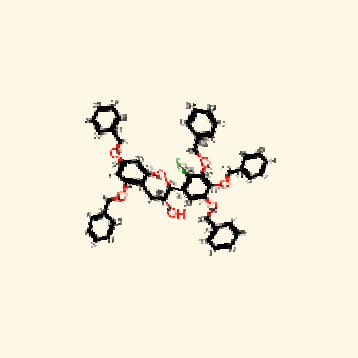 O[C@@H]1Cc2c(OCc3ccccc3)cc(OCc3ccccc3)cc2O[C@H]1c1cc(OCc2ccccc2)c(OCc2ccccc2)c(OCc2ccccc2)c1F